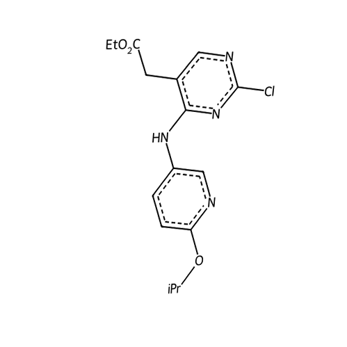 CCOC(=O)Cc1cnc(Cl)nc1Nc1ccc(OC(C)C)nc1